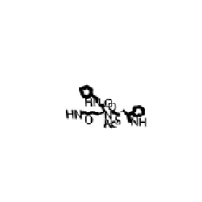 CC(=O)S[C@@H](Cc1c[nH]c2ccccc12)C(=O)N[C@@H](CCC(=O)C=N)C(=O)NCc1ccccc1